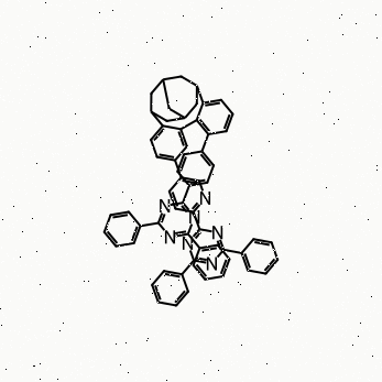 c1ccc(-c2nc(-c3ccccc3)nc(-c3ccc(-c4cccc5c4-c4cc(-c6ccc(-c7nc(-c8ccccc8)nc(-c8ccccc8)n7)nc6)ccc4C4CC6CC(C4)CC5C6)cc3)n2)cc1